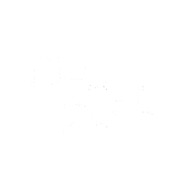 CCCCC(CC)C(=O)[NH][Zr+2]([CH]1C=Cc2ccccc21)[SiH](C)C.[Cl-].[Cl-]